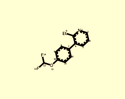 CCc1ncccc1-c1ccc(OC(F)F)cc1